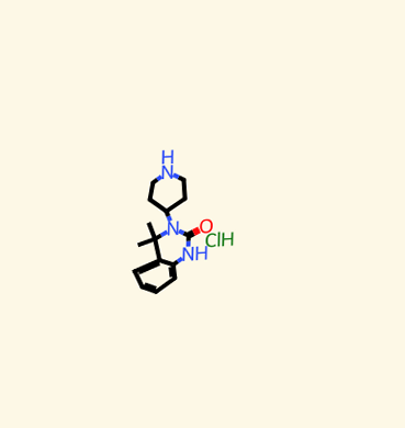 CC1(C)c2ccccc2NC(=O)N1C1CCNCC1.Cl